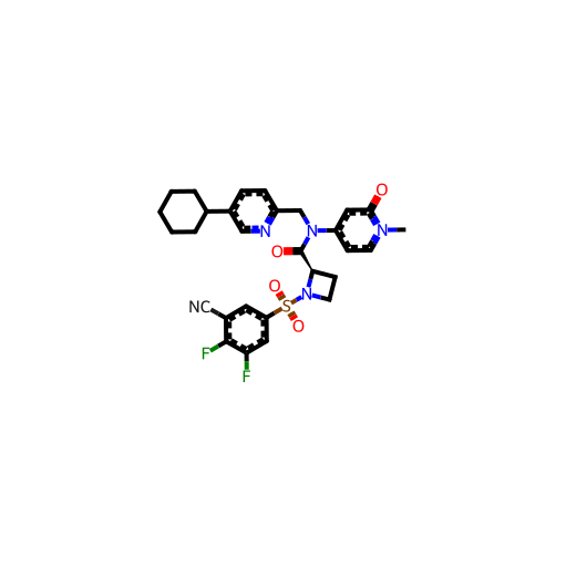 Cn1ccc(N(Cc2ccc(C3CCCCC3)cn2)C(=O)[C@H]2CCN2S(=O)(=O)c2cc(F)c(F)c(C#N)c2)cc1=O